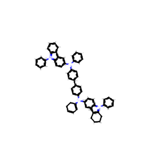 C1=CCCC(N(c2ccc(-c3ccc(N(c4ccccc4)c4ccc5c(c4)c4ccccc4n5-c4ccccc4)cc3)cc2)c2ccc3c(c2)c2c(n3-c3ccccc3)CCCC2)=C1